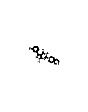 Cn1c(N2CCC3(CCOC3)CC2)nc2[nH]nc(-c3cccc(F)c3)c2c1=O